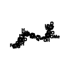 COc1cc([C@@H](O)CCN2CCN(c3ccc(-c4cnc5[nH]cc(C(=O)c6c(F)ccc(NS(=O)(=O)N7CC[C@@H](F)C7)c6F)c5c4)cc3)CC2)cc2c1C(=O)N([C@@H]1CCC(=O)NC1=O)C2